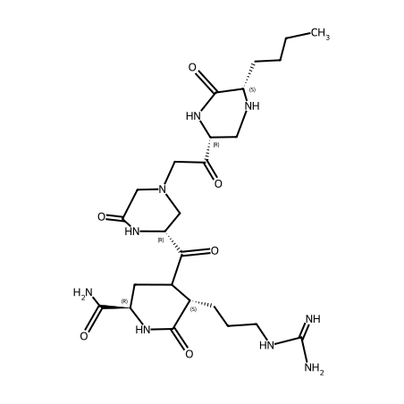 CCCC[C@@H]1NC[C@H](C(=O)CN2CC(=O)N[C@@H](C(=O)C3C[C@H](C(N)=O)NC(=O)[C@H]3CCCNC(=N)N)C2)NC1=O